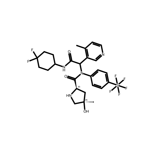 Cc1ccncc1C(C(=O)NC1CCC(F)(F)CC1)N(C(=O)[C@H]1C[C@@](C)(O)CN1)c1ccc(S(F)(F)(F)(F)F)cc1